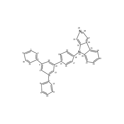 c1ccc(-c2cc(-c3ccccc3)cc(-c3ccc(-n4c5ccccc5c5ccncc54)cc3)c2)cc1